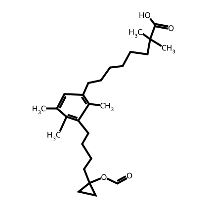 Cc1cc(CCCCCCC(C)(C)C(=O)O)c(C)c(CCCCC2(OC=O)CC2)c1C